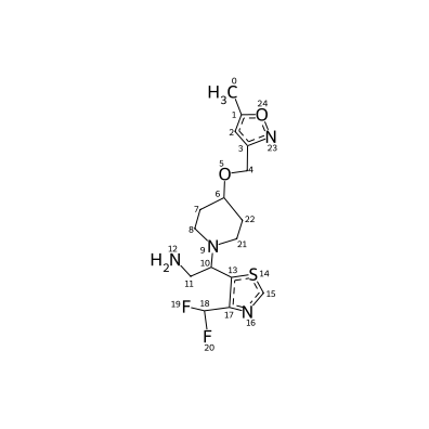 Cc1cc(COC2CCN(C(CN)c3scnc3C(F)F)CC2)no1